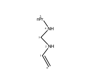 C=CNCNCCC